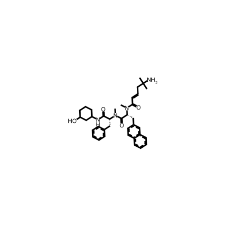 CN(C(=O)C=CCC(C)(C)N)[C@H](Cc1ccc2ccccc2c1)C(=O)N(C)[C@H](Cc1ccccc1)C(=O)NC1CCCC(O)C1